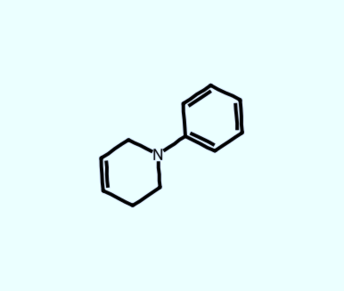 C1=CCN(c2ccccc2)CC1